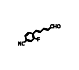 N#Cc1ccc(C=CC=CC=O)c(F)c1